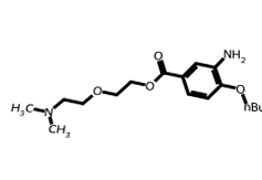 CCCCOc1ccc(C(=O)OCCOCCN(C)C)cc1N